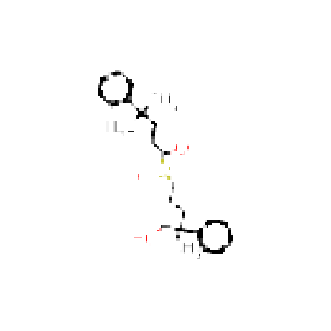 CC(C)(CCC(O)[S+]([O-])CCCC(C)(CO)c1ccccc1)c1ccccc1